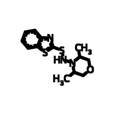 CC1COCC(C)N1NSc1nc2ccccc2s1